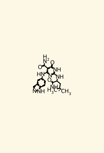 CC(C)CC(Nc1nc(Nc2ccc3[nH]ncc3c2)c(C(N)=O)c(=O)[nH]1)C(N)=O